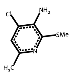 CSc1nc(C)cc(Cl)c1N